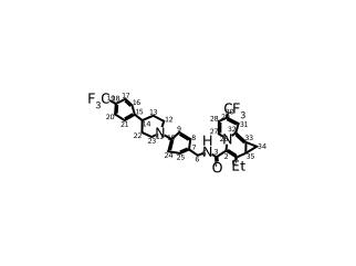 CCC1=C(C(=O)NCc2ccc(N3CCC(c4ccc(C(F)(F)F)cc4)CC3)cc2)N2C=CC(C(F)(F)F)=CC2=C2CC21